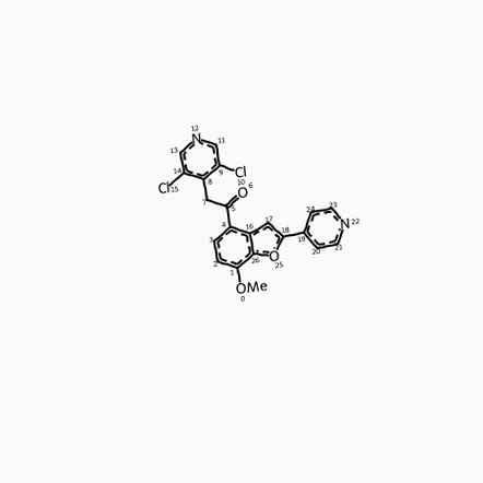 COc1ccc(C(=O)Cc2c(Cl)cncc2Cl)c2cc(-c3ccncc3)oc12